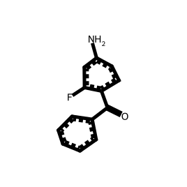 Nc1ccc(C(=O)c2ccccc2)c(F)c1